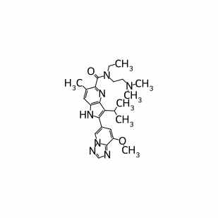 CCN(CCN(C)C)C(=O)c1nc2c(C(C)C)c(-c3cc(OC)c4ncnn4c3)[nH]c2cc1C